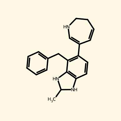 CC1Nc2ccc(C3=CNCCC=C3)c(Cc3ccccc3)c2N1